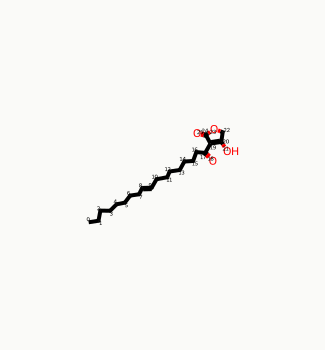 CCCCCCCC/C=C/CCCCCCCC(=O)C1=C(O)COC1=O